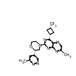 Cc1cc([C@H]2CN(c3nc4nc(C)cnc4c([C@H]4C[C@@H](C(F)(F)F)C4)n3)CCO2)cnn1